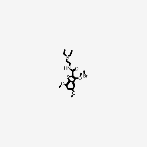 CBr.CCN(CC)CCNC(=O)c1sc2c(OC)cc(OC)cc2c1OC